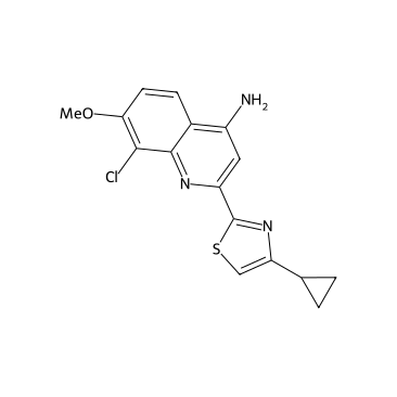 COc1ccc2c(N)cc(-c3nc(C4CC4)cs3)nc2c1Cl